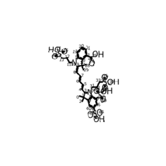 CC1(C)C(/C=C/C=C/C=C2/N(CCCS(=O)(=O)O)c3cccc(C(=O)O)c3C2(C)C)=[N+](CCCS(=O)(=O)O)c2c1cc(S(=O)(=O)O)cc2S(=O)(=O)O